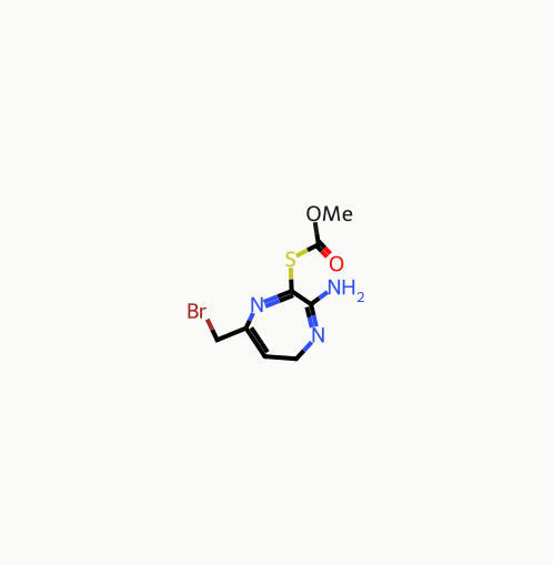 COC(=O)SC1=NC(CBr)=CCN=C1N